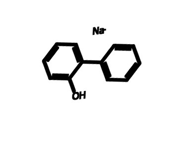 Oc1ccccc1-c1ccccc1.[Na]